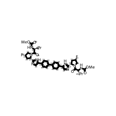 COC(=O)N[C@H](C(=O)N1C[C@H](F)C[C@H]1c1ncc(-c2ccc(-c3ccc(-c4cnc([C@@H]5C[C@H](F)CN5C(=O)[C@@H](NC(=O)OC)C(C)C)[nH]4)cc3)cc2)[nH]1)C(C)C